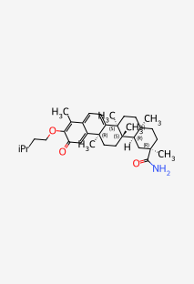 CC1=C(OCCC(C)C)C(=O)C=C2C1=CC=C1[C@@]2(C)CC[C@@]2(C)[C@@H]3C[C@](C)(C(N)=O)CC[C@]3(C)CC[C@]12C